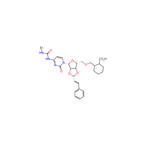 CCNC(=O)Nc1ccn([C@@H]2O[C@H](COCC3CCCCC3C(=O)O)C3O[C@H](/C=C/c4ccccc4)OC32)c(=O)n1